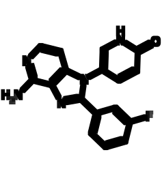 Nc1nccc2c1nc(-c1cccc(F)c1)n2-c1ccc(=O)[nH]c1